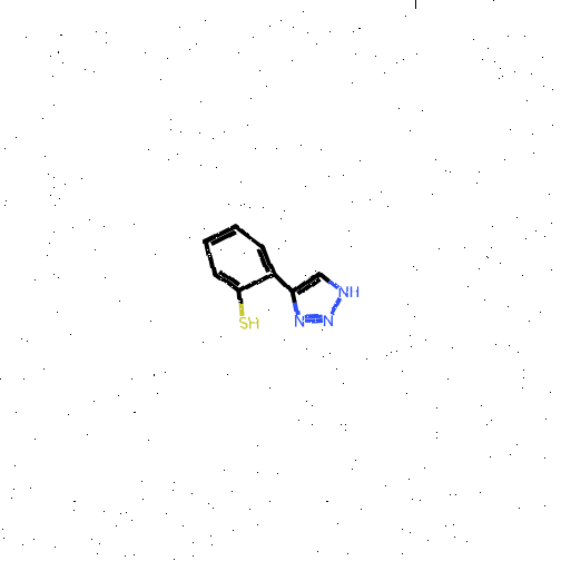 Sc1ccccc1-c1c[nH]nn1